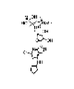 CNS(=O)(=O)CC(C)(OC[C@H]1O[C@@H](n2ncc3c(NC4CCCC4)nc(Cl)nc32)[C@H](O)[C@@H]1O)P(=O)(O)O